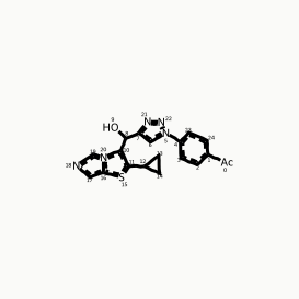 CC(=O)c1ccc(-n2cc(C(O)c3c(C4CC4)sc4cncn34)nn2)cc1